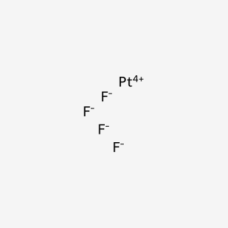 [F-].[F-].[F-].[F-].[Pt+4]